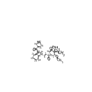 COc1cc(C(=O)/C=C/c2cn(C(=O)c3cccnc3)c3ccccc23)cc(OC)c1OC